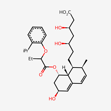 CCC(Oc1ccccc1C(C)C)C(=O)O[C@H]1C[C@H](O)C=C2C=C[C@H](C)[C@H](CC[C@@H](O)C[C@@H](O)CC(=O)O)[C@H]21